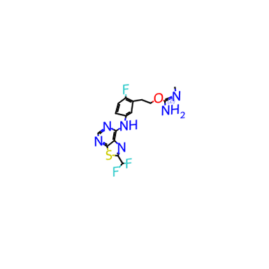 C/N=C(/N)OCCc1cc(Nc2ncnc3sc(C(F)F)nc23)ccc1F